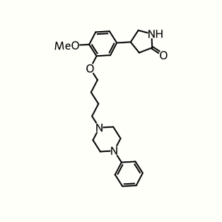 COc1ccc(C2CNC(=O)C2)cc1OCCCCN1CCN(c2ccccc2)CC1